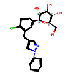 OC[C@H]1O[C@@H](c2ccc(Cl)c(Cc3cnn(-c4ccccc4)c3)c2)[C@H](O)[C@@H](O)[C@@H]1O